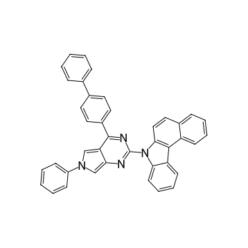 c1ccc(-c2ccc(-c3nc(-n4c5ccccc5c5c6ccccc6ccc54)nc4cn(-c5ccccc5)cc34)cc2)cc1